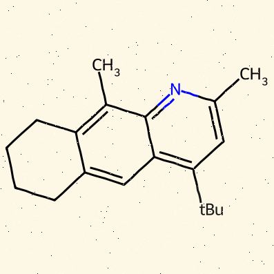 Cc1cc(C(C)(C)C)c2cc3c(c(C)c2n1)CCCC3